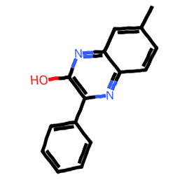 Cc1ccc2nc(-c3ccccc3)c(O)nc2c1